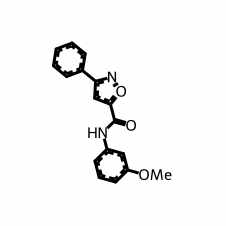 COc1cccc(NC(=O)c2cc(-c3ccccc3)no2)c1